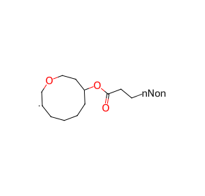 [CH2]CCCCCCCCCCC(=O)OC1CCCC[CH]COCC1